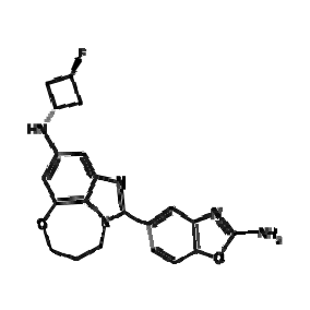 Nc1nc2cc(-c3nc4cc(N[C@H]5C[C@H](F)C5)cc5c4n3CCCO5)ccc2o1